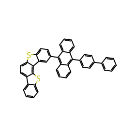 c1ccc(-c2ccc(-c3c4ccccc4c(-c4ccc5sc6ccc7c8ccccc8sc7c6c5c4)c4ccccc34)cc2)cc1